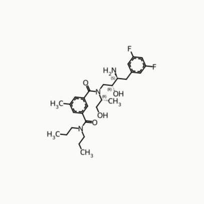 CCCN(CCC)C(=O)c1cc(C)cc(C(=O)N(C[C@@H](O)[C@@H](N)Cc2cc(F)cc(F)c2)[C@H](C)CO)c1